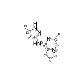 Cc1cn2cccc2c(Nc2cc(C)[nH]n2)n1